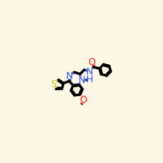 COc1ccc2c(c1)N(C)C(CNC(=O)c1ccccc1)CN=C2c1ccsc1